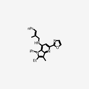 CCC/C=C(\C)CNc1cc(-c2ncco2)nc2c(C)c(CC)n(C(C)C)c12